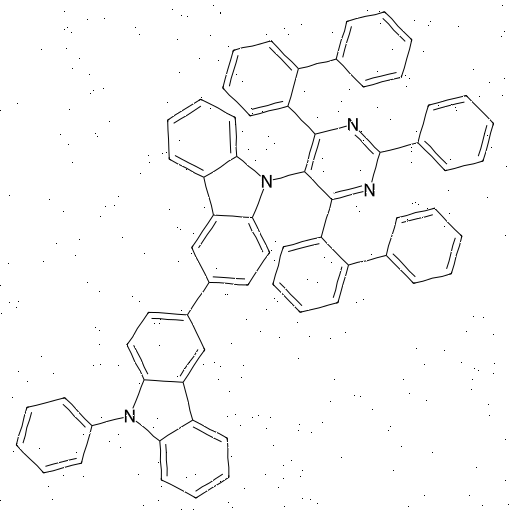 c1ccc(-c2nc(-c3ccccc3-c3ccccc3)c(-n3c4ccccc4c4cc(-c5ccc6c(c5)c5ccccc5n6-c5ccccc5)ccc43)c(-c3ccccc3-c3ccccc3)n2)cc1